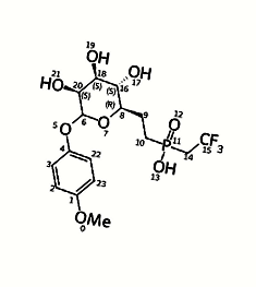 COc1ccc(OC2O[C@H](CCP(=O)(O)CC(F)(F)F)[C@@H](O)[C@H](O)[C@@H]2O)cc1